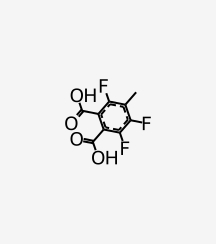 Cc1c(F)c(F)c(C(=O)O)c(C(=O)O)c1F